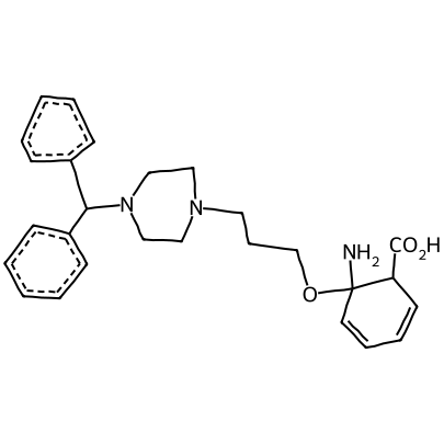 NC1(OCCCN2CCN(C(c3ccccc3)c3ccccc3)CC2)C=CC=CC1C(=O)O